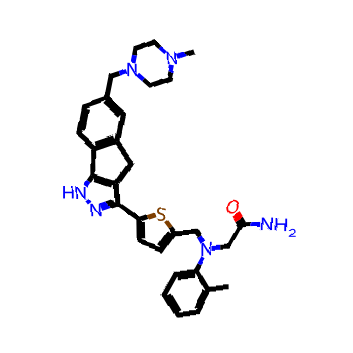 Cc1ccccc1N(CC(N)=O)Cc1ccc(-c2n[nH]c3c2Cc2cc(CN4CCN(C)CC4)ccc2-3)s1